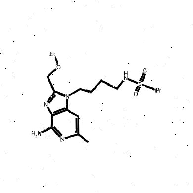 CCOCc1nc2c(N)nc(C)cc2n1CCCCNS(=O)(=O)C(C)C